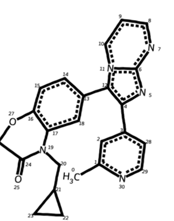 Cc1cc(-c2nc3ncccn3c2-c2ccc3c(c2)N(CC2CC2)C(=O)CO3)ccn1